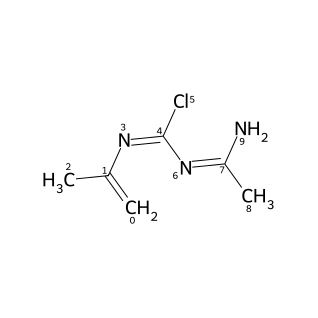 C=C(C)/N=C(Cl)\N=C(\C)N